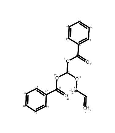 C=C[SiH2]OC(OC(=O)c1ccccc1)OC(=O)c1ccccc1